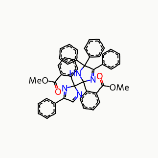 COC(=O)c1ccccc1C1(C2(c3ccccc3C(=O)OC)N=C(c3ccccc3)C(c3ccccc3)(c3ccccc3)N2)N=CC(c2ccccc2)=N1